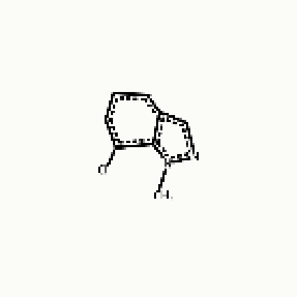 Cn1ncc2[c]ccc(Cl)c21